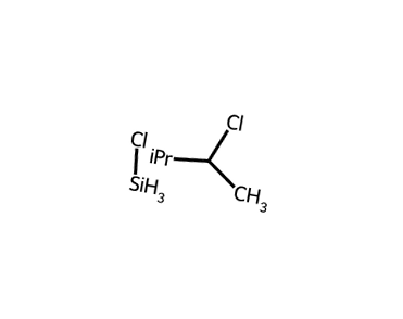 CC(C)C(C)Cl.[SiH3]Cl